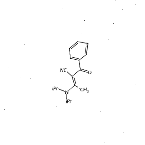 C/C(=C(/C#N)C(=O)c1ccccc1)N(C(C)C)C(C)C